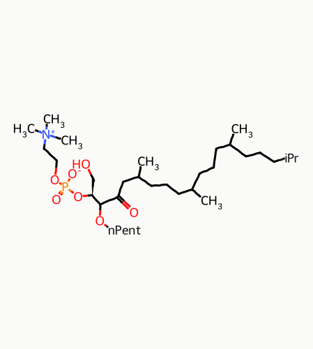 CCCCCOC(C(=O)CC(C)CCCC(C)CCCC(C)CCCC(C)C)[C@H](CO)OP(=O)([O-])OCC[N+](C)(C)C